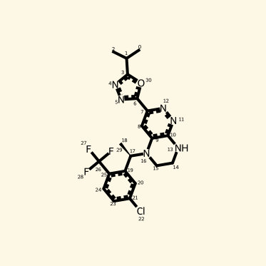 CC(C)c1nnc(-c2cc3c(nn2)NCCN3[C@H](C)c2cc(Cl)ccc2C(F)(F)F)o1